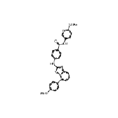 COc1ccc(-c2cccc3nc(Nc4ccc(C(=O)Nc5ccc(NC(C)=O)nc5)cc4)nn23)cc1